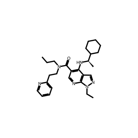 CCCN(CCc1ccccn1)C(=O)c1cnc2c(cnn2CC)c1N[C@H](C)C1CCCCC1